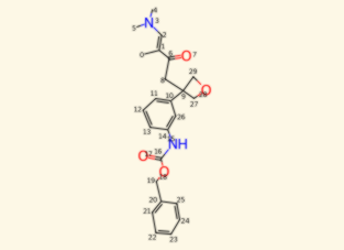 C/C(=C\N(C)C)C(=O)CC1(c2cccc(NC(=O)OCc3ccccc3)c2)COC1